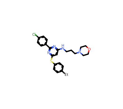 CCc1ccc(Sc2cc(NCCCN3CCOCC3)nc(-c3ccc(Cl)cc3)n2)cc1